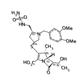 COc1ccc(CN2C[C@@H](SC3=C(C(=O)O)N4C(=O)[C@H]([C@@H](C)O)[C@H]4[C@H]3C)C[C@H]2CNS(N)(=O)=O)cc1OC